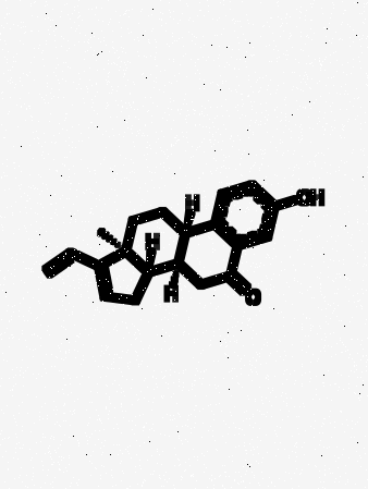 C=CC1=CC[C@H]2[C@@H]3CC(=O)c4cc(O)ccc4[C@H]3CC[C@]12C